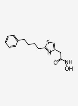 O=C(Cc1csc(CCCCc2ccccc2)n1)NO